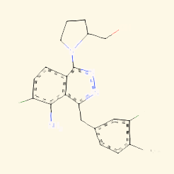 COc1ccc(Cc2nnc(N3CCCC3CO)c3ccc(Cl)c(N)c23)cc1Cl